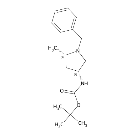 C[C@H]1C[C@@H](NC(=O)OC(C)(C)C)CN1Cc1ccccc1